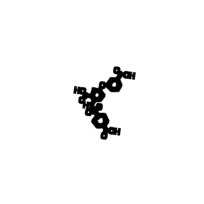 O=C(O)c1ccc(S(=O)(=O)Nc2ccc(Oc3cccc(C(=O)O)c3)cc2C(=O)O)cc1